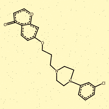 O=c1ccoc2cc(OCCCN3CCN(c4cccc(Cl)c4)CC3)ccc12